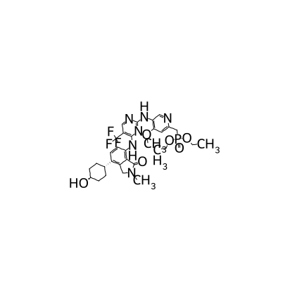 CCOP(=O)(Cc1cc(OC)c(Nc2ncc(C(F)(F)F)c(Nc3ccc([C@H]4CC[C@H](O)CC4)c4c3C(=O)N(C)C4)n2)cn1)OCC